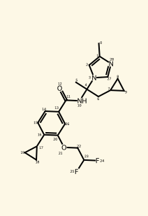 Cc1cn(C(C)(CC2CC2)NC(=O)c2ccc(C3CC3)c(OCC(F)F)c2)cn1